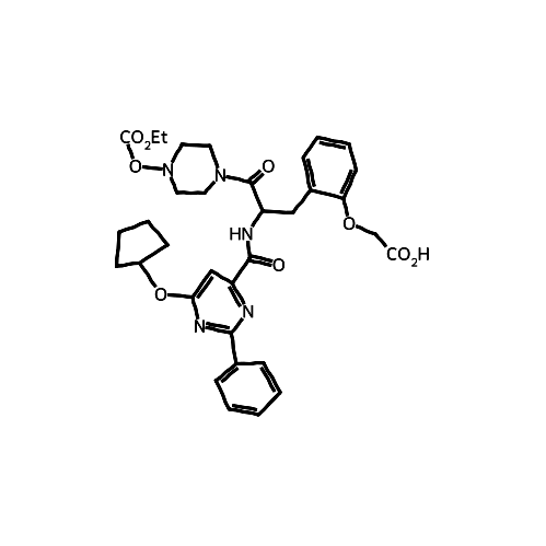 CCOC(=O)ON1CCN(C(=O)C(Cc2ccccc2OCC(=O)O)NC(=O)c2cc(OC3CCCC3)nc(-c3ccccc3)n2)CC1